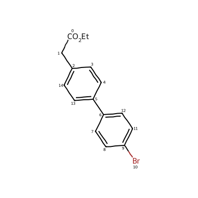 CCOC(=O)Cc1ccc(-c2ccc(Br)cc2)cc1